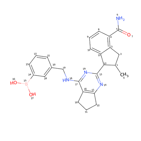 CC1Cc2c(C(N)=O)cccc2C1c1nc2c(c(NCc3cccc(B(O)O)c3)n1)CCC2